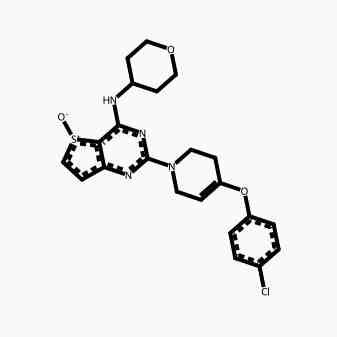 [O-][s+]1ccc2nc(N3CC=C(Oc4ccc(Cl)cc4)CC3)nc(NC3CCOCC3)c21